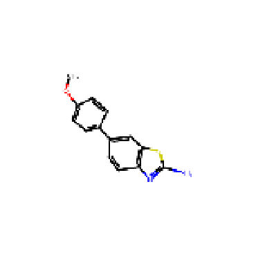 COc1ccc(-c2ccc3nc(N)sc3c2)cc1